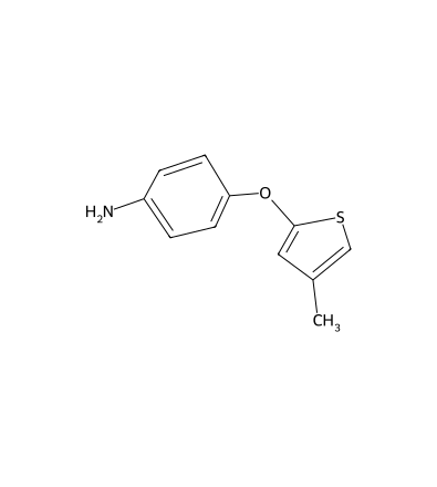 Cc1csc(Oc2ccc(N)cc2)c1